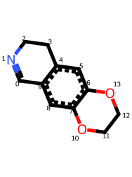 C1=NCCc2cc3c(cc21)OCCO3